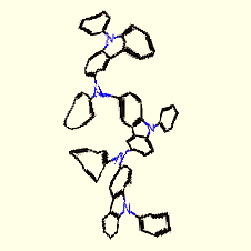 C1=CC(N(c2ccc3c(c2)c2ccccc2n3-c2ccccc2)c2ccc3c(c2)c2cc(N(c4ccccc4)c4ccc5c(c4)c4c(n5-c5ccccc5)CCC=C4)ccc2n3-c2ccccc2)=CCC1